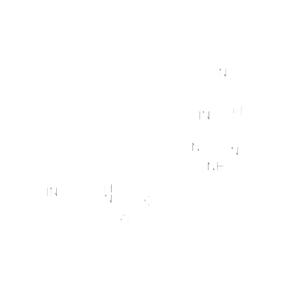 CN1CCC(Nc2c(Cl)cnc3[nH]c(-c4ccc(OCC(=O)NCC5CCNCC5)cc4)nc23)CC1